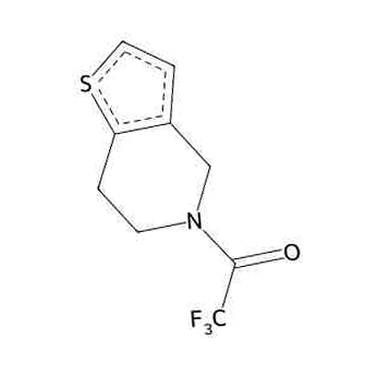 O=C(N1CCc2sccc2C1)C(F)(F)F